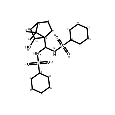 CC1(C)C2CCC1(C(NS(=O)(=O)C1CCCCC1)NS(=O)(=O)C1CCCCC1)C(O)C2